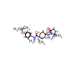 CC[C@]1(C(=O)N(C)c2ccc(OC(C)C)cc2)CC[C@](O)(CN2C(=O)CCC2(C)C)CC1